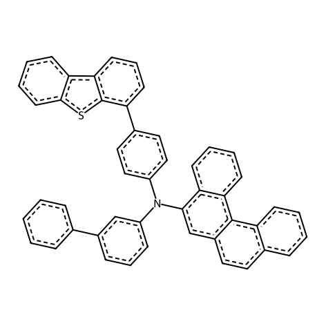 c1ccc(-c2cccc(N(c3ccc(-c4cccc5c4sc4ccccc45)cc3)c3cc4ccc5ccccc5c4c4ccccc34)c2)cc1